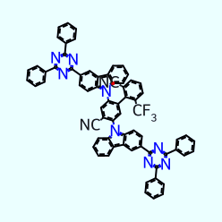 N#Cc1cc(-n2c3ccccc3c3cc(-c4nc(-c5ccccc5)nc(-c5ccccc5)n4)ccc32)c(-c2c(C#N)cccc2C(F)(F)F)cc1-n1c2ccccc2c2cc(-c3nc(-c4ccccc4)nc(-c4ccccc4)n3)ccc21